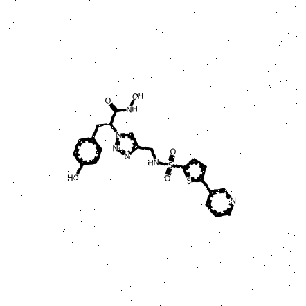 O=C(NO)[C@H](Cc1ccc(O)cc1)n1cc(CNS(=O)(=O)c2ccc(-c3cccnc3)s2)nn1